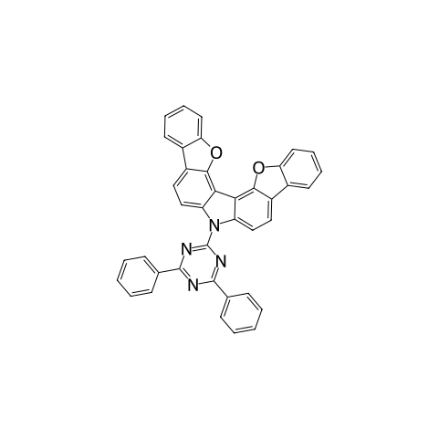 c1ccc(-c2nc(-c3ccccc3)nc(-n3c4ccc5c6ccccc6oc5c4c4c5oc6ccccc6c5ccc43)n2)cc1